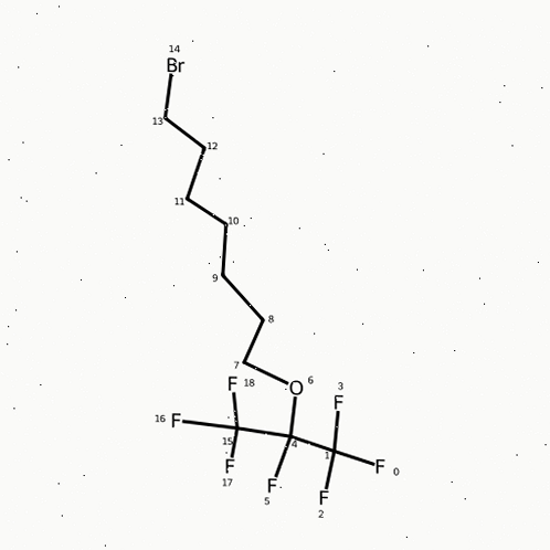 FC(F)(F)C(F)(OCCCCCCCBr)C(F)(F)F